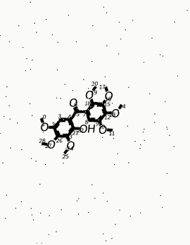 COc1cc(C(=O)c2cc(OC)c(OC)c(OC)c2OC)c(O)c(OC)c1OC